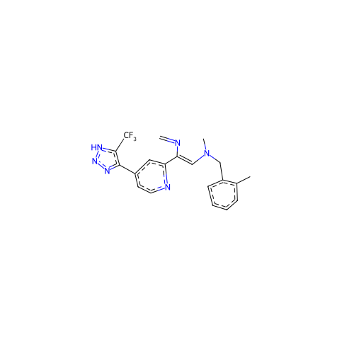 C=N/C(=C\N(C)Cc1ccccc1C)c1cc(-c2nn[nH]c2C(F)(F)F)ccn1